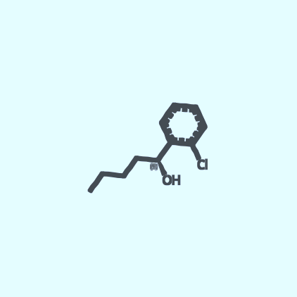 CCCC[C@H](O)c1ccccc1Cl